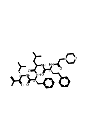 C=C(C)C(=O)[C@H](CC(C)C)NC(=O)[C@H](Cc1ccccc1)NC(=O)C(CC(C)C)NC(=O)[C@H](CCc1ccccc1)NC(=O)CN1CCOCC1